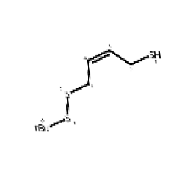 CC(C)(C)SSC/C=C\CS